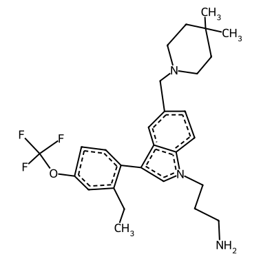 CCc1cc(OC(F)(F)F)ccc1-c1cn(CCCN)c2ccc(CN3CCC(C)(C)CC3)cc12